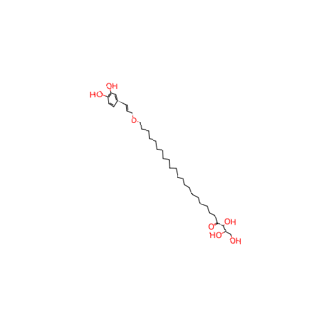 O=C(CCCCCCCCCCCCCCCCCCCCCOCC=Cc1ccc(O)c(O)c1)C(O)C(O)CO